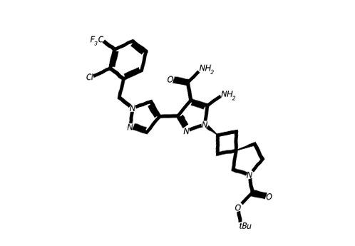 CC(C)(C)OC(=O)N1CC[C@]2(C1)C[C@H](n1nc(-c3cnn(Cc4cccc(C(F)(F)F)c4Cl)c3)c(C(N)=O)c1N)C2